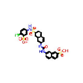 O=C(Nc1ccc2ccc(S(=O)(=O)O)cc2c1)Nc1ccc2ccc(S(=O)(=O)Nc3ccc(Cl)c(S(=O)(=O)O)c3)cc2c1